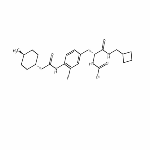 CCC(=O)N[C@H](Cc1ccc(NC(=O)C[C@H]2CC[C@H](C)CC2)c(F)c1)C(=O)NCC1CCC1